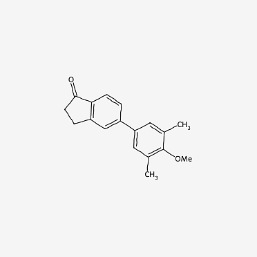 COc1c(C)cc(-c2ccc3c(c2)CCC3=O)cc1C